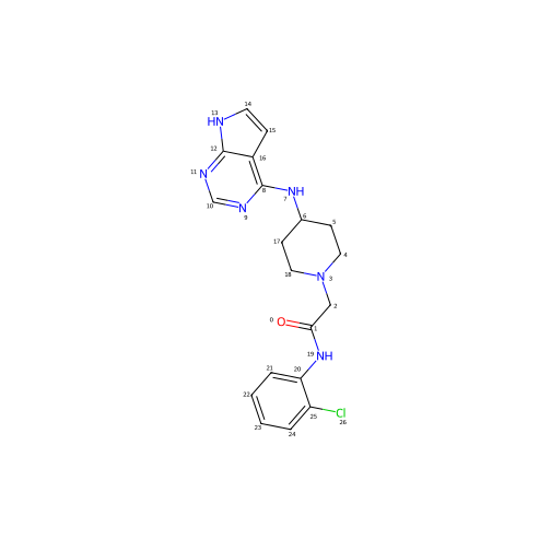 O=C(CN1CCC(Nc2ncnc3[nH]ccc23)CC1)Nc1ccccc1Cl